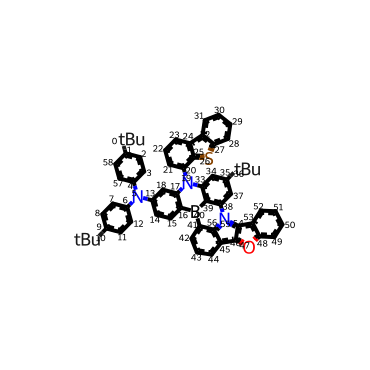 CC(C)(C)c1ccc(N(c2ccc(C(C)(C)C)cc2)c2ccc3c(c2)N(c2cccc4c2sc2ccccc24)c2cc(C(C)(C)C)cc4c2B3c2cccc3c5oc6ccccc6c5n-4c23)cc1